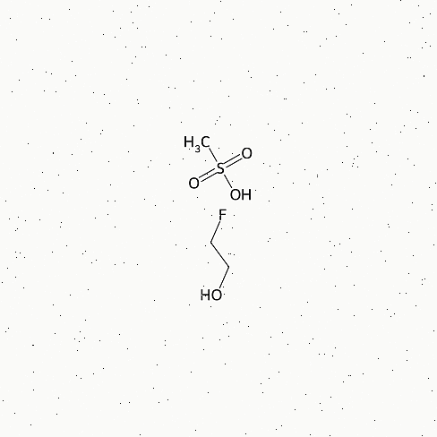 CS(=O)(=O)O.OCCF